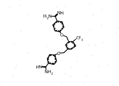 N=C(N)c1ccc(OCc2ccc(C(F)(F)F)c(COc3ccc(C(=N)N)cc3)c2)cc1